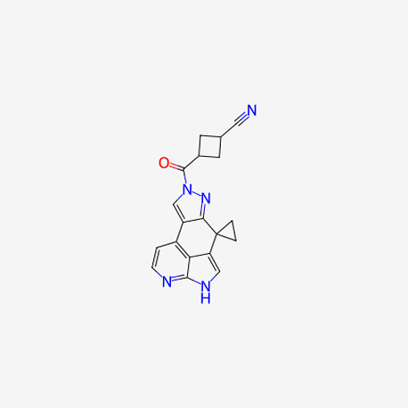 N#CC1CC(C(=O)n2cc3c(n2)C2(CC2)c2c[nH]c4nccc-3c24)C1